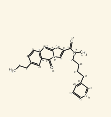 CCCc1ccc2nc3sc(C(=O)N(C)CCCCc4cccnc4)cn3c(=O)c2c1